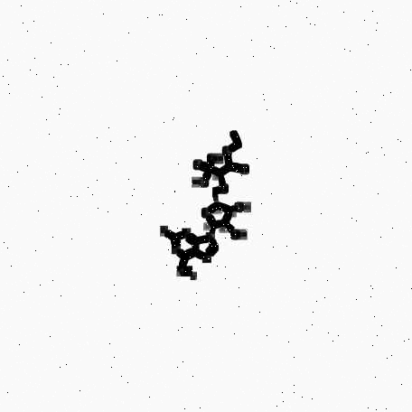 CCOC(=O)[C@@H](OC[C@H]1O[C@@H](n2cnc3c(N)nc(F)nc32)[C@H](O)[C@@H]1O)P(=O)(O)O